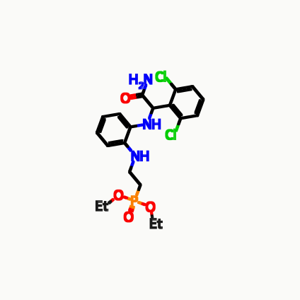 CCOP(=O)(CCNc1ccccc1NC(C(N)=O)c1c(Cl)cccc1Cl)OCC